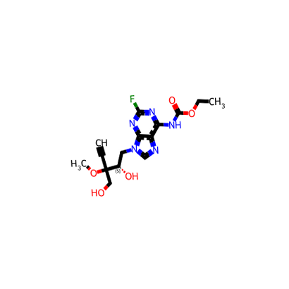 C#CC(CO)(OC)[C@@H](O)Cn1cnc2c(NC(=O)OCC)nc(F)nc21